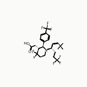 CC(C)(C)/C=C\[C@H](CCC(F)(F)F)N1CCC(F)(F)[C@H](CC(=O)O)[C@H]1c1ccc(C(F)(F)F)cc1